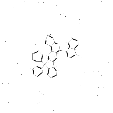 Brc1ccc(-c2nc3ccccc3c3cc4c(cc23)-c2ccccc2C4(c2ccccc2)c2ccccc2)c2ccccc12